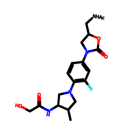 CC(=O)NCC1CN(c2ccc(N3CC(C)C(NC(=O)CO)C3)c(F)c2)C(=O)O1